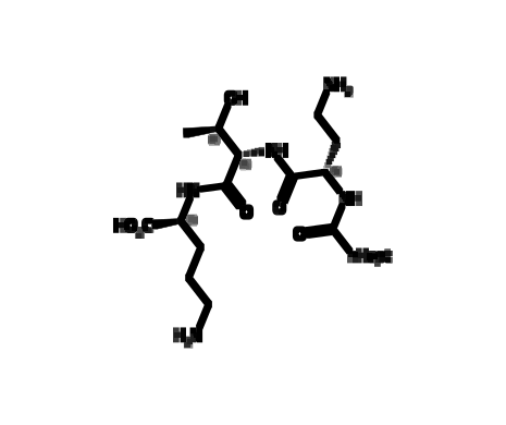 CCCCCCCC(=O)N[C@@H](CCN)C(=O)N[C@H](C(=O)N[C@@H](CCCN)C(=O)O)[C@@H](C)O